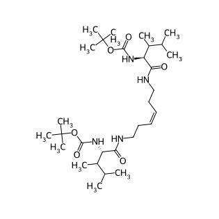 CC(C)C(C)[C@H](NC(=O)OC(C)(C)C)C(=O)NCC/C=C\CCNC(=O)[C@@H](NC(=O)OC(C)(C)C)C(C)C(C)C